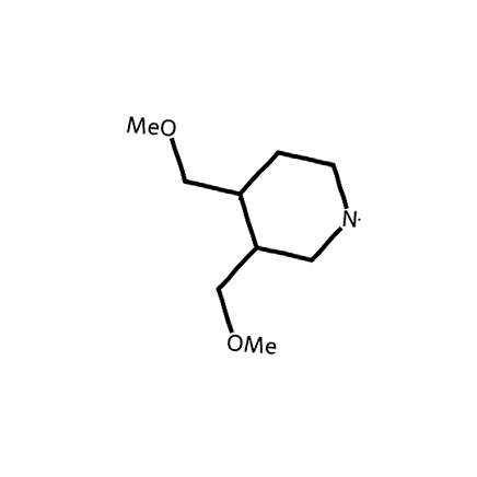 COC[C]1CC[N]CC1COC